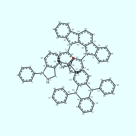 c1ccc(N2NCc3c(-c4cccc(-n5c6ccccc6c6ccc7c8ccccc8n(-c8ccnc(-c9ccc%10c(c9)N(c9ccccc9)c9ccccc9N%10c9ccccc9)n8)c7c65)c4)cccc32)cc1